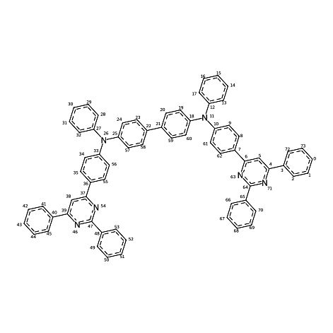 c1ccc(-c2cc(-c3ccc(N(c4ccccc4)c4ccc(-c5ccc(N(c6ccccc6)c6ccc(-c7cc(-c8ccccc8)nc(-c8ccccc8)n7)cc6)cc5)cc4)cc3)nc(-c3ccccc3)n2)cc1